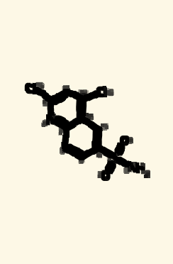 NS(=O)(=O)c1ccc2nc(Cl)cc(Cl)c2c1